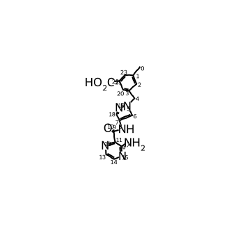 Cc1cc(Cn2cc(NC(=O)c3nccnc3N)cn2)cc(C(=O)O)c1